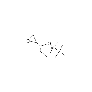 CC[C@@H](O[Si](C)(C)C(C)(C)C)C1CO1